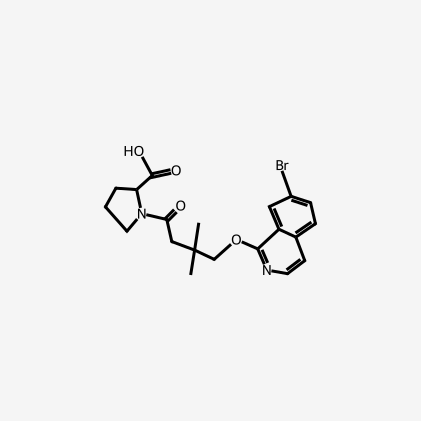 CC(C)(COc1nccc2ccc(Br)cc12)CC(=O)N1CCCC1C(=O)O